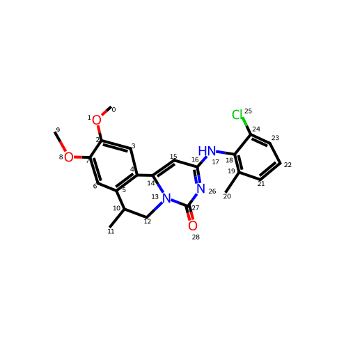 COc1cc2c(cc1OC)C(C)Cn1c-2cc(Nc2c(C)cccc2Cl)nc1=O